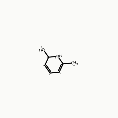 CC1=CC=CC(O)N1